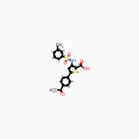 CC(=O)c1ccc(-c2cc(NS(=O)(=O)c3cccc(C)c3)c(C(=O)O)s2)cc1